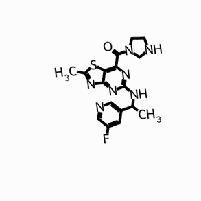 Cc1nc2nc(NC(C)c3cncc(F)c3)nc(C(=O)N3CCNC3)c2s1